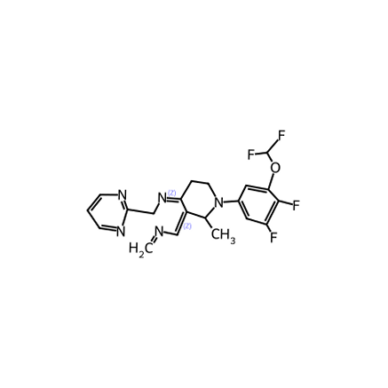 C=N/C=C1\C(=N/Cc2ncccn2)CCN(c2cc(F)c(F)c(OC(F)F)c2)C1C